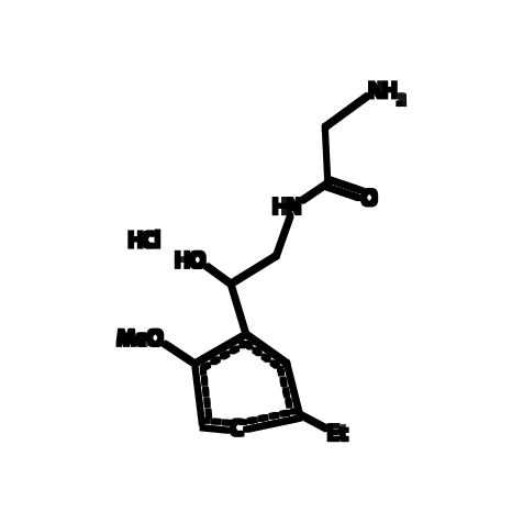 CCc1ccc(OC)c(C(O)CNC(=O)CN)c1.Cl